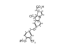 CC(C)Oc1ccc(COc2ccc3c(c2)c(Cl)c2n3C=CC2CC(=O)O)cc1C(F)(F)F